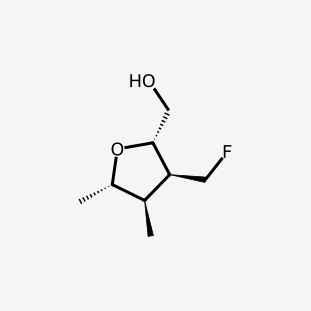 C[C@@H]1[C@H](CF)[C@@H](CO)O[C@H]1C